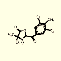 CCC1(C)NC(C(=O)c2cc(Cl)c(C)c(Cl)c2)OC1=O